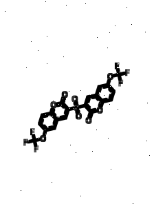 O=c1oc2ccc(OC(F)(F)F)cc2cc1S(=O)(=O)c1cc2cc(OC(F)(F)F)ccc2oc1=O